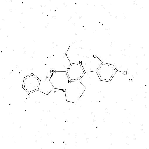 CCO[C@H]1Cc2ccccc2[C@H]1Nc1nc(CC)c(-c2ccc(Cl)cc2Cl)nc1SC